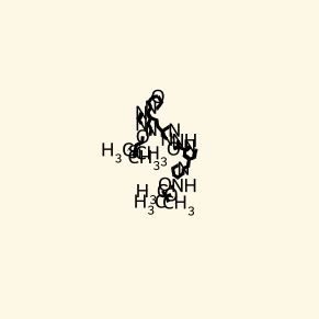 CC(C)(C)OC(=O)N[C@@H]1CCCN(Cc2ccnc(C(=O)Nc3ncc(-c4cc5c(N6CCOCC6)ncnc5n4COCC[Si](C)(C)C)cn3)c2)C1